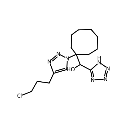 OC(c1nnn[nH]1)C1(n2cc(CCCCl)nn2)CCCCCCC1